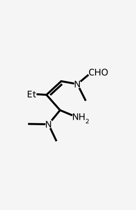 CC/C(=C/N(C)C=O)C(N)N(C)C